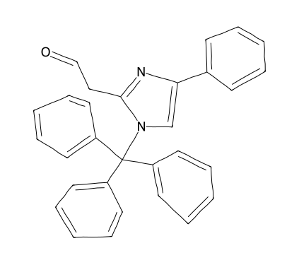 O=CCc1nc(-c2ccccc2)cn1C(c1ccccc1)(c1ccccc1)c1ccccc1